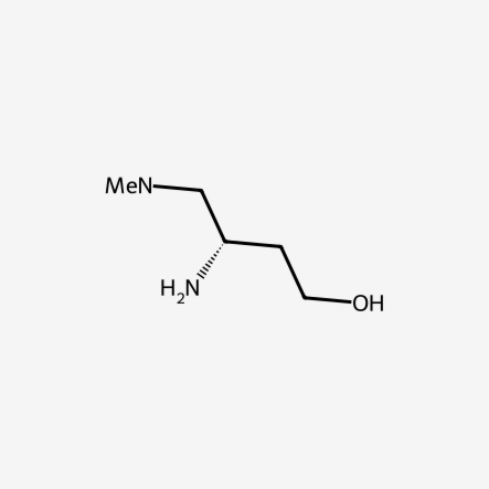 CNC[C@@H](N)CCO